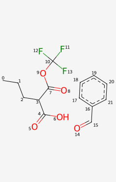 CCCC(C(=O)O)C(=O)OC(F)(F)F.O=Cc1ccccc1